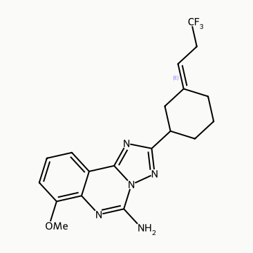 COc1cccc2c1nc(N)n1nc(C3CCC/C(=C\CC(F)(F)F)C3)nc21